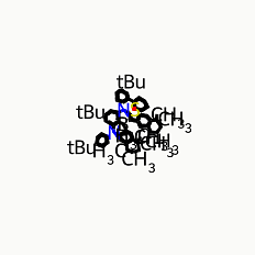 CC(C)(C)c1ccc(N2c3cc4c(cc3B3c5c2cc(C(C)(C)C)cc5N(c2ccc(C(C)(C)C)cc2-c2ccccc2)c2sc5cc6c(cc5c23)C(C)(C)CCC6(C)C)C(C)(C)CCC4(C)C)cc1